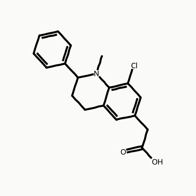 CN1c2c(Cl)cc(CC(=O)O)cc2CCC1c1ccccc1